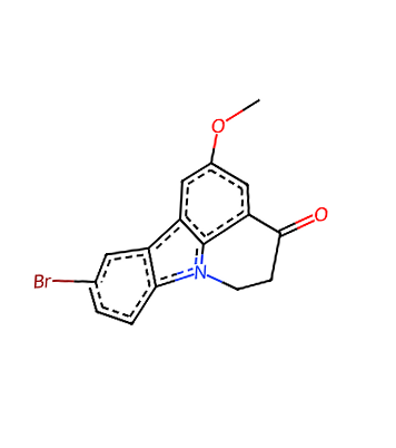 COc1cc2c3c(c1)c1cc(Br)ccc1n3CCC2=O